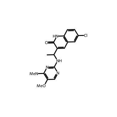 CNc1nc(NC(C)c2cc3cc(Cl)ccc3[nH]c2=O)ncc1OC